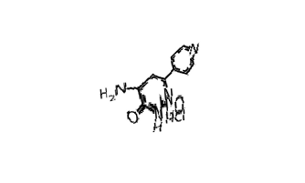 Cl.Nc1cc(-c2ccncc2)n[nH]c1=O.O